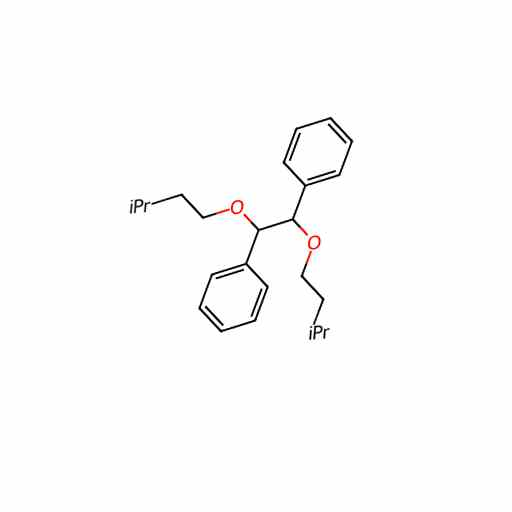 CC(C)CCOC(c1ccccc1)C(OCCC(C)C)c1ccccc1